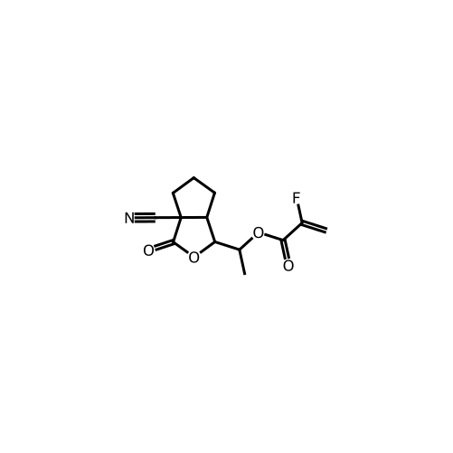 C=C(F)C(=O)OC(C)C1OC(=O)C2(C#N)CCCC12